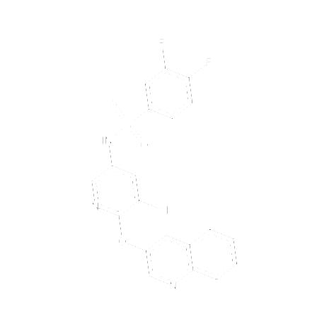 O=S(=O)(Nc1cnc(Oc2cnc3ccccc3c2)c(Cl)c1)c1ccc(F)c(F)c1